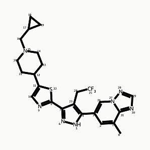 Cc1cc(-c2[nH]nc(-c3ncc(C4CCN(CC5CC5)CC4)s3)c2CC(F)(F)F)cn2ncnc12